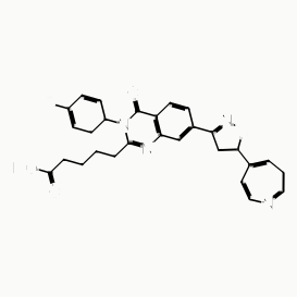 O=C(O)CCCCc1nc2cc(C3=NOC(C4=CCC=NC=C4)C3)ccc2c(=O)n1C1C=CC(F)=CC1